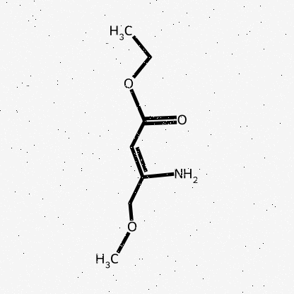 CCOC(=O)C=C(N)COC